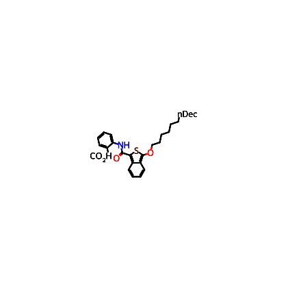 CCCCCCCCCCCCCCCCOc1sc(C(=O)Nc2ccccc2C(=O)O)c2ccccc12